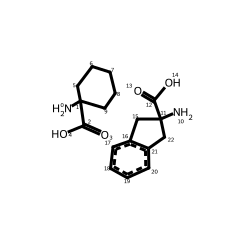 NC1(C(=O)O)CCCCC1.NC1(C(=O)O)Cc2ccccc2C1